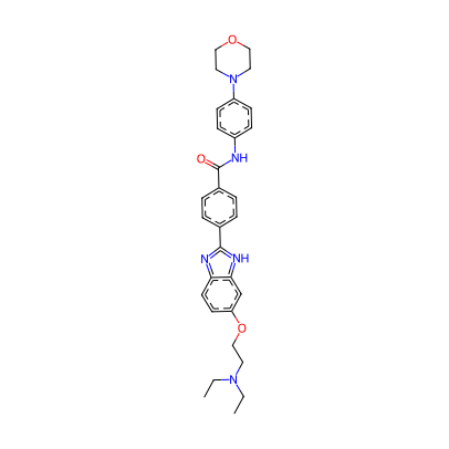 CCN(CC)CCOc1ccc2nc(-c3ccc(C(=O)Nc4ccc(N5CCOCC5)cc4)cc3)[nH]c2c1